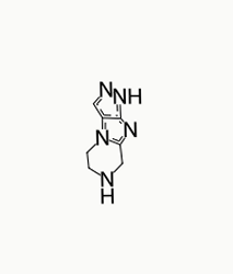 c1n[nH]c2nc3n(c12)CCNC3